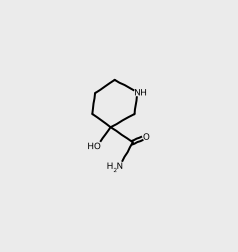 NC(=O)C1(O)CCCNC1